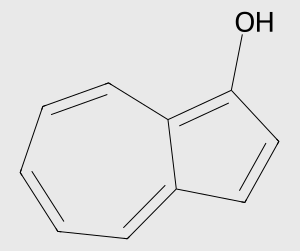 Oc1ccc2cccccc1-2